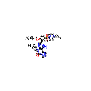 CCCOc1ccc(S(=O)(=O)N2CCN(C)CC2)cc1-c1nc2c([nH]1)c1nncn1c(=O)n2CC